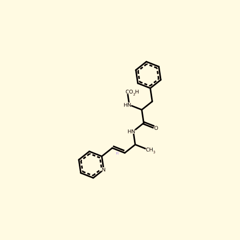 CC(/C=C/c1ccccn1)NC(=O)C(Cc1ccccc1)NC(=O)O